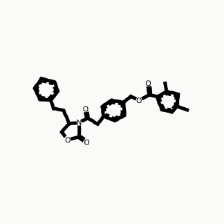 Cc1ccc(C(=O)OCc2ccc(CC(=O)N3C(=O)OCC3CCc3ccccc3)cc2)c(C)c1